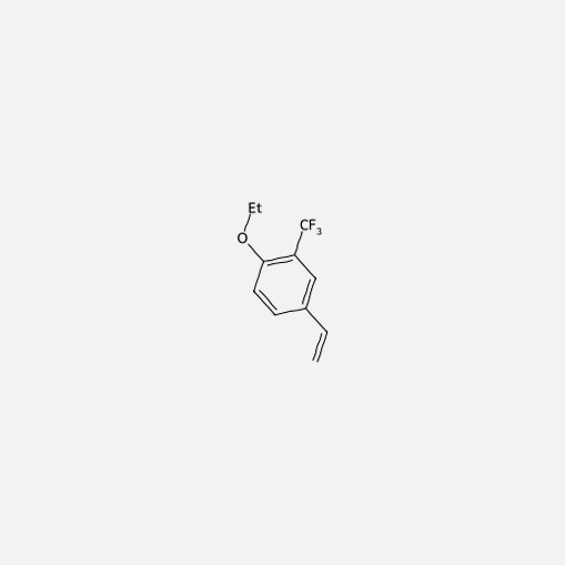 C=Cc1ccc(OCC)c(C(F)(F)F)c1